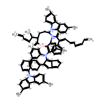 C=C/C=C\C=CC=C(C(=C)N1c2cc(C(C)(C)C)cc3c2B(C(=C)C(C(C)/C=C\C=C)CCC1n1c2ccc(C(C)(C)C)cc2c2cc(C(C)(C)C)ccc21)c1ccc(-c2cccc(-n4c5ccc(C(C)(C)C)cc5c5cc(C(C)(C)C)ccc54)c2)cc1N3C1=C2C=CC=C2C=C1c1ccccc1)c1ccccc1